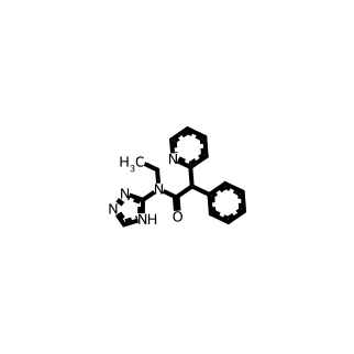 CCN(C(=O)C(c1ccccc1)c1ccccn1)c1nnc[nH]1